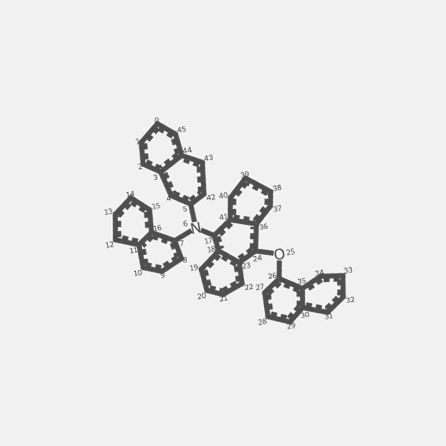 c1ccc2cc(N(c3cccc4ccccc34)c3c4ccccc4c(Oc4cccc5ccccc45)c4ccccc34)ccc2c1